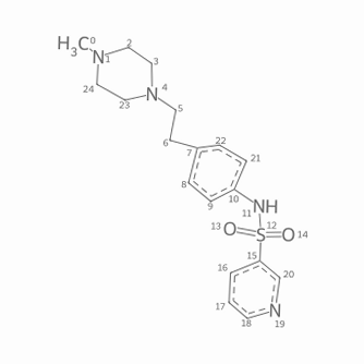 CN1CCN(CCc2ccc(NS(=O)(=O)c3cccnc3)cc2)CC1